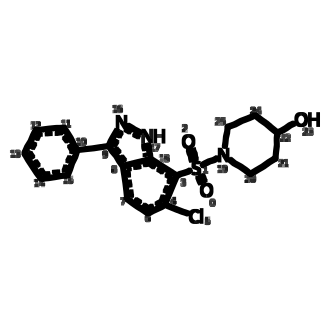 O=S(=O)(c1c(Cl)ccc2c(-c3ccccc3)n[nH]c12)N1CCC(O)CC1